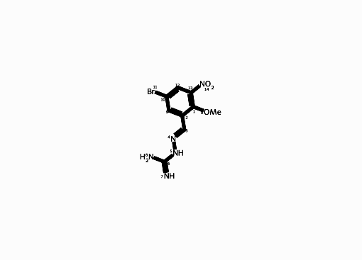 COc1c(C=NNC(=N)N)cc(Br)cc1[N+](=O)[O-]